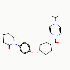 CC(C)N1C=CN(C(=O)[C@H]2CC[C@H](Oc3ccc(N4CCCCC4=O)cc3)CC2)C=C1